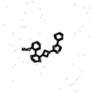 COc1ccccc1-c1nccnc1C1CN(c2nccc(-c3ccccc3)n2)C1